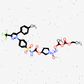 CCOC(=O)OC(C)O/N=[N+](/[O-])N1CCC(OC(=O)NS(=O)(=O)c2ccc(-n3nc(C(F)(F)F)cc3-c3ccc(C)cc3)cc2)C1